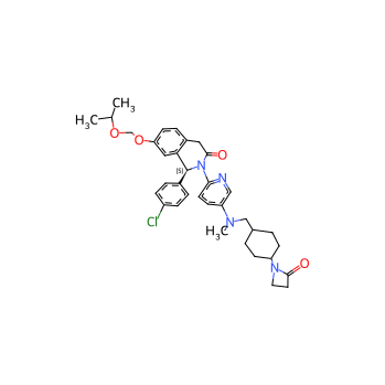 CC(C)OCOc1ccc2c(c1)[C@H](c1ccc(Cl)cc1)N(c1ccc(N(C)CC3CCC(N4CCC4=O)CC3)cn1)C(=O)C2